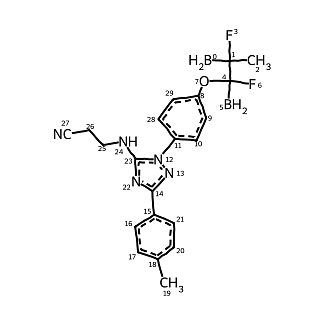 BC(C)(F)C(B)(F)Oc1ccc(-n2nc(-c3ccc(C)cc3)nc2NCCC#N)cc1